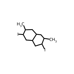 CC1CC2CC(C)C(I)CC2CC1I